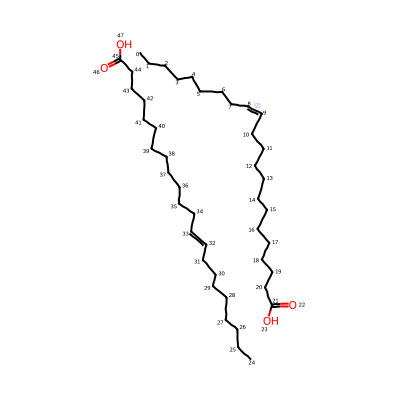 CCCCCCCC/C=C\CCCCCCCCCCCC(=O)O.CCCCCCCCC=CCCCCCCCCCCCC(=O)O